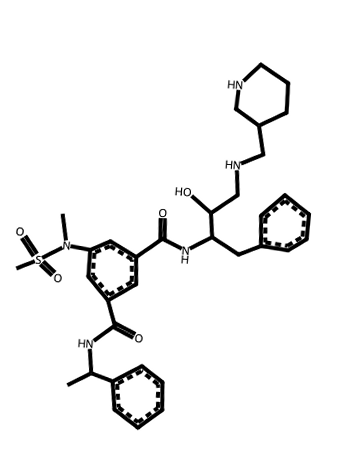 CC(NC(=O)c1cc(C(=O)NC(Cc2ccccc2)C(O)CNCC2CCCNC2)cc(N(C)S(C)(=O)=O)c1)c1ccccc1